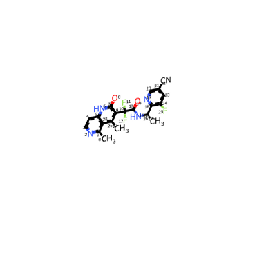 Cc1nccc2[nH]c(=O)c(C(F)(F)C(=O)N[C@H](C)c3ncc(C#N)cc3F)c(C)c12